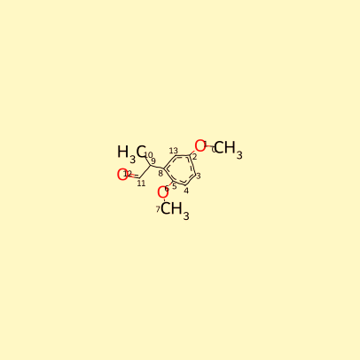 COc1ccc(OC)c(C(C)C=O)c1